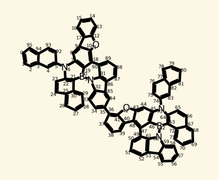 c1ccc2cc(N3c4cc5c(oc6ccccc65)c5c4B(c4c3ccc3ccccc43)n3c4ccc(-c6cccc7c6oc6cc8c9c(c67)-c6cccc7c%10ccccc%10n(c67)B9c6c(ccc7ccccc67)N8c6ccc7ccccc7c6)cc4c4cccc-5c43)ccc2c1